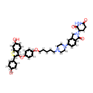 O=C1CCC(N2Cc3cc(N4CCN(CCCCCOc5ccc(Oc6c(-c7ccc(Br)cc7)sc7cc(O)ccc67)cc5)CC4)ccc3C2=O)C(=O)N1